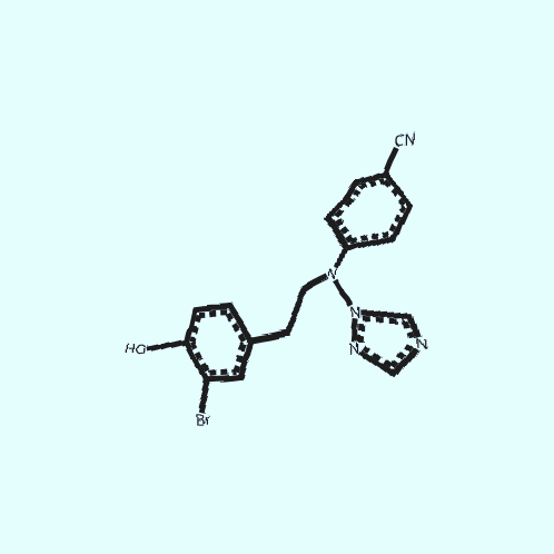 N#Cc1ccc(N(CCc2ccc(O)c(Br)c2)n2cncn2)cc1